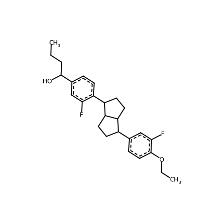 CCCC(O)c1ccc(C2CCC3C(c4ccc(OCC)c(F)c4)CCC23)c(F)c1